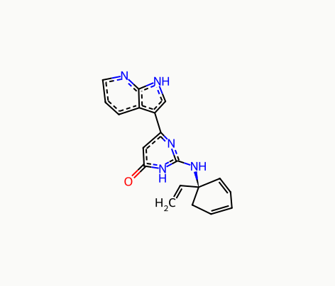 C=C[C@]1(Nc2nc(-c3c[nH]c4ncccc34)cc(=O)[nH]2)C=CC=CC1